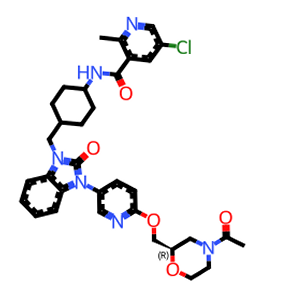 CC(=O)N1CCO[C@@H](COc2ccc(-n3c(=O)n(CC4CCC(NC(=O)c5cc(Cl)cnc5C)CC4)c4ccccc43)cn2)C1